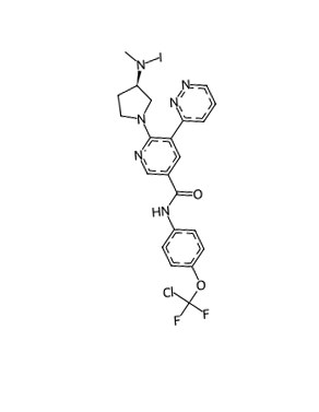 CN(I)[C@@H]1CCN(c2ncc(C(=O)Nc3ccc(OC(F)(F)Cl)cc3)cc2-c2cccnn2)C1